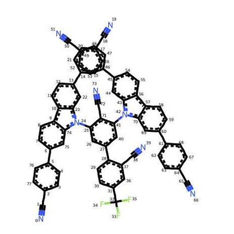 N#Cc1ccc(-c2ccc3c4ccc(-c5ccc(C#N)cc5)cc4n(-c4cc(-c5ccc(C(F)(F)F)cc5C#N)cc(-n5c6cc(-c7ccc(C#N)cc7)ccc6c6ccc(-c7ccc(C#N)cc7)cc65)c4C#N)c3c2)cc1